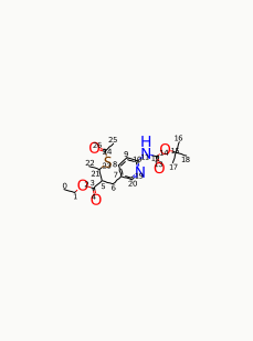 CCOC(=O)C(Cc1ccc(NC(=O)OC(C)(C)C)nc1)C(C)SC(C)=O